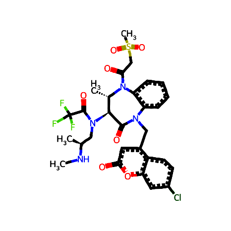 CN[C@@H](C)CN(C(=O)C(F)(F)F)[C@@H]1C(=O)N(Cc2cc(=O)oc3cc(Cl)ccc23)c2ccccc2N(C(=O)CS(C)(=O)=O)[C@H]1C